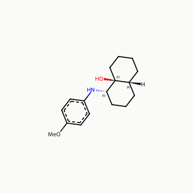 COc1ccc(N[C@H]2CCC[C@H]3CCCC[C@]32O)cc1